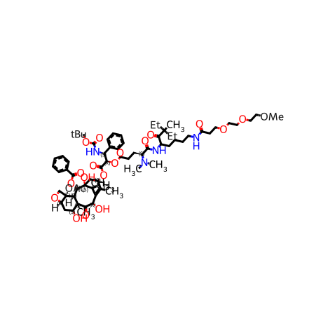 CCC(C)(CC)C(=O)C(CCCCNC(=O)CCOCCOCCOC)NC(=O)[C@H](CCC(=O)O[C@@H](C(=O)O[C@H]1C[C@@]2(O)[C@@H](OC(=O)c3ccccc3)[C@@H]3[C@]4(OC(C)=O)CO[C@@H]4C[C@H](O)[C@@]3(C)C(=O)[C@H](O)C(=C1C)C2(C)C)[C@@H](NC(=O)OC(C)(C)C)c1ccccc1)N(C)C